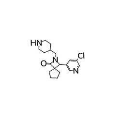 O=C1N(CC2CCNCC2)C(c2cncc(Cl)c2)C12CCCC2